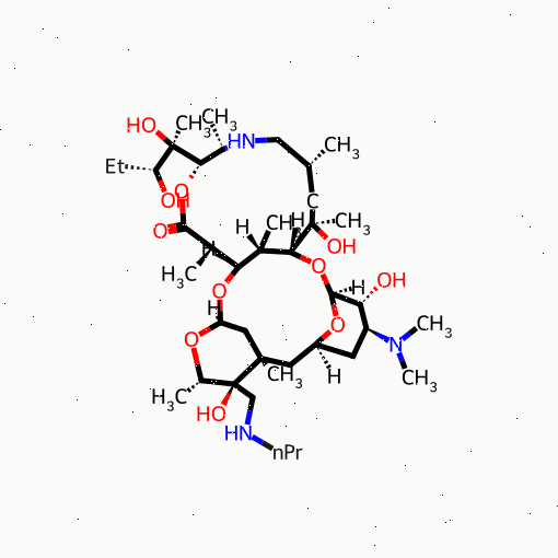 CCCNC[C@]1(O)[C@H](C)O[C@@H]2C[C@]1(C)C[C@@H]1C[C@H](N(C)C)[C@@H](O)[C@@H](O1)O[C@@H]1[C@@H](C)[C@H](O2)[C@@H](C)C(=O)O[C@H]([C@](C)(O)[C@H](O)CC)[C@H](C)NC[C@H](C)C[C@@]1(C)O